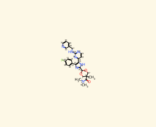 CN(C)C(=O)C1(C)COC(c2nc(-c3ccc(F)cc3)c(-c3ccnc(NCc4cccnc4)n3)[nH]2)OC1